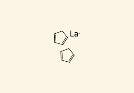 C1=CCC=C1.C1=CCC=C1.[La]